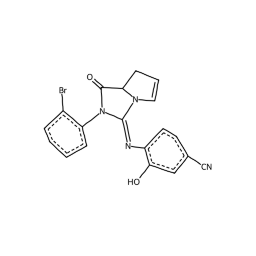 N#Cc1ccc(N=C2N(c3ccccc3Br)C(=O)C3CC=CN23)c(O)c1